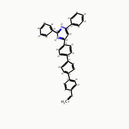 C=Cc1ccc(-c2ccc(-c3ccc(-c4cc(-c5ccccc5)nc(-c5ccccc5)n4)cc3)cc2)cc1